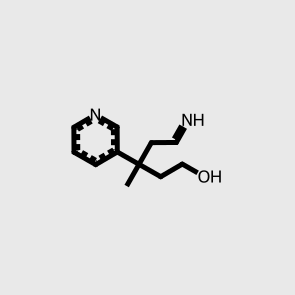 CC(CC=N)(CCO)c1cccnc1